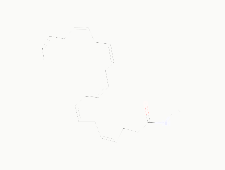 CC/C=C\C/C=C\C/C=C\C/C=C\C/C=C\C/C=C\CCC(=O)NCCCC